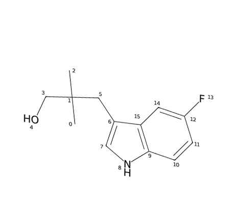 CC(C)(CO)Cc1c[nH]c2ccc(F)cc12